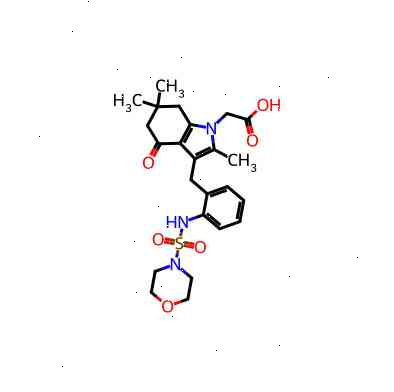 Cc1c(Cc2ccccc2NS(=O)(=O)N2CCOCC2)c2c(n1CC(=O)O)CC(C)(C)CC2=O